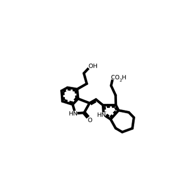 O=C(O)CCc1c(/C=C2\C(=O)Nc3cccc(CCO)c32)[nH]c2c1CCCCC2